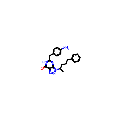 CC(CCCc1ccccc1)n1nnc2c(=O)[nH]c(Cc3ccc(N)cc3)nc21